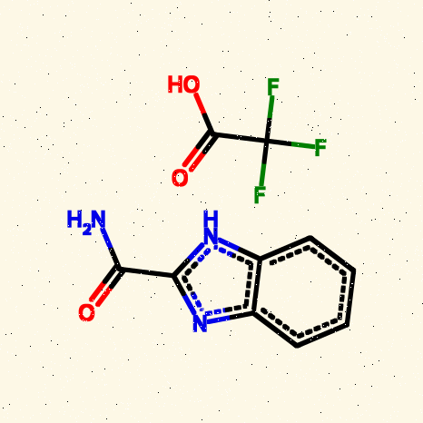 NC(=O)c1nc2ccccc2[nH]1.O=C(O)C(F)(F)F